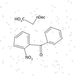 CCCCCCCCCCCC(=O)O.O=C(c1ccccc1)c1ccccc1[N+](=O)[O-]